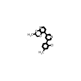 Cc1ccc(-c2cncc(-c3ccnc4c3OCC(C)O4)c2)c(Cl)c1